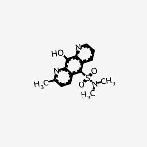 Cc1ccc2c(S(=O)(=O)N(C)C)c3cccnc3c(O)c2n1